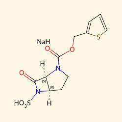 O=C(OCc1cccs1)N1CC[C@@H]2[C@H]1C(=O)N2S(=O)(=O)O.[NaH]